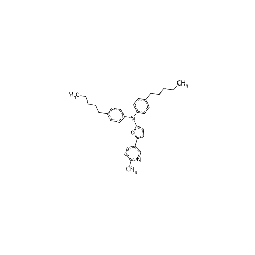 CCCCCc1ccc(N(c2ccc(CCCCC)cc2)c2ccc(-c3ccc(C)nc3)o2)cc1